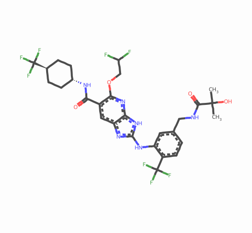 CC(C)(O)C(=O)NCc1ccc(C(F)(F)F)c(Nc2nc3cc(C(=O)N[C@H]4CC[C@H](C(F)(F)F)CC4)c(OCC(F)F)nc3[nH]2)c1